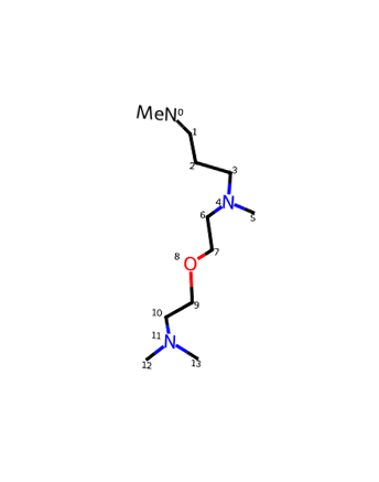 CNCCCN(C)CCOCCN(C)C